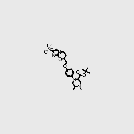 CC1CN(c2ccc(OCC3CCn4cc([N+](=O)[O-])nc4O3)cc2)C(C(=O)OC(C)(C)C)CN1C